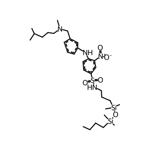 CCCC[Si](C)(C)O[Si](C)(C)CCCNS(=O)(=O)c1ccc(Nc2cccc(CN(C)CCCC(C)C)c2)c([N+](=O)[O-])c1